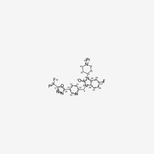 CC(C)N1CCC(n2c(=O)n(Cc3ccc(-c4nnc(C(F)F)o4)cn3)c3ccc(F)cc32)CC1